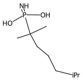 CC(C)CCCC(C)(C)P(=N)(O)O